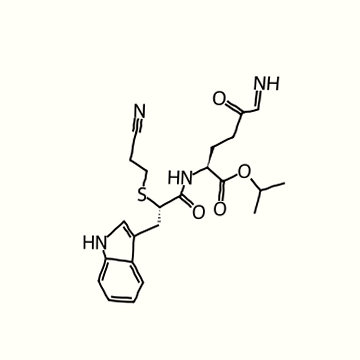 CC(C)OC(=O)[C@H](CCC(=O)C=N)NC(=O)[C@H](Cc1c[nH]c2ccccc12)SCCC#N